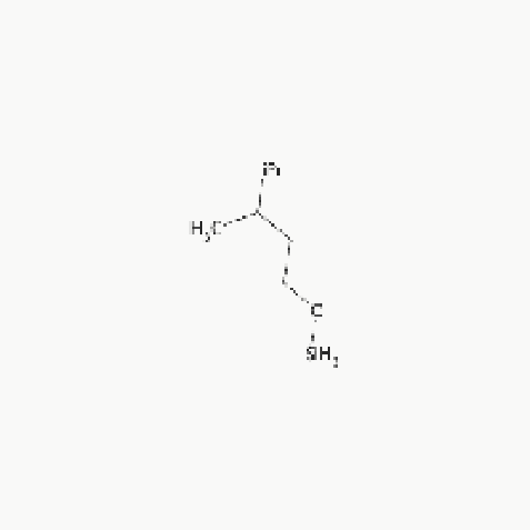 CC(C)C(C)CCO[SiH3]